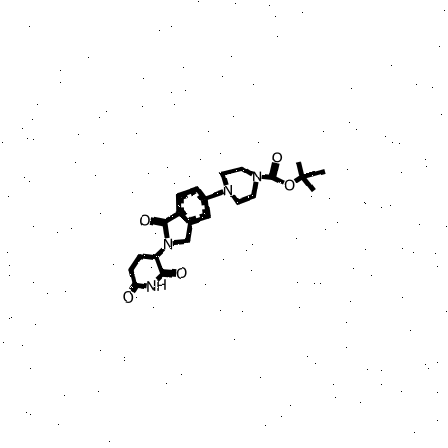 CC(C)(C)OC(=O)N1CCN(c2ccc3c(c2)CN(C2CCC(=O)NC2=O)C3=O)CC1